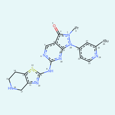 CC(C)n1c(=O)c2cnc(Nc3nc4c(s3)CCNC4)nc2n1-c1ccnc(C(C)(C)C)c1